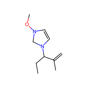 C=C(C)C(CC)N1C=CN(OC)C1